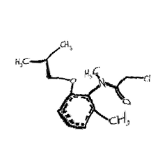 Cc1cccc(OCC(C)C)c1N(C)C(=O)CCl